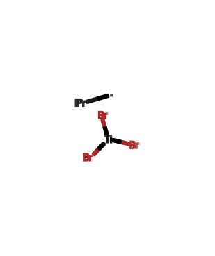 [Br][Ti]([Br])[Br].[CH2]C(C)C